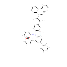 [2H]/C(=C(/[2H])c1cc2ccccc2c2ccccc12)c1ccc(N(c2ccccc2)c2c(F)cc(-c3ccccc3)cc2-c2ccccc2)cc1